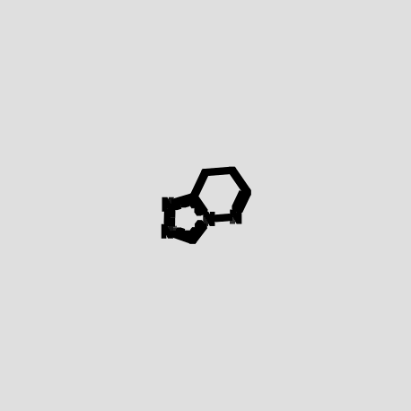 C1=Nn2cnnc2CC1